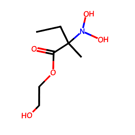 CCC(C)(C(=O)OCCO)N(O)O